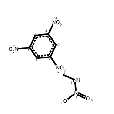 CN[N+](=O)[O-].O=[N+]([O-])c1cc([N+](=O)[O-])cc([N+](=O)[O-])c1